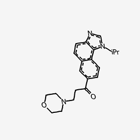 CC(C)n1cnc2ccc3cc(C(=O)CCN4CCOCC4)ccc3c21